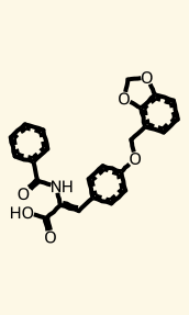 O=C(O)C(=Cc1ccc(OCc2cccc3c2OCO3)cc1)NC(=O)c1ccccc1